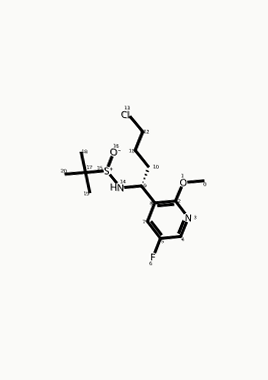 COc1ncc(F)cc1[C@@H](CCCCl)N[S+]([O-])C(C)(C)C